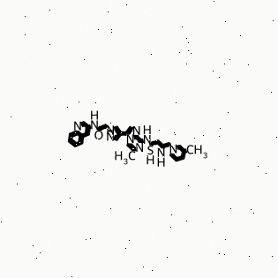 Cc1cn2c(-c3cnn(CC(=O)Nc4cnc5ccccc5c4)c3)cnc2c(NC(S)CC(=N)CN2CCCC(C)C2)n1